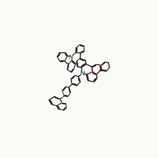 C1=CCCC(c2cc(-c3ccccc3-n3c4ccccc4c4ccccc43)ccc2N(c2ccc(-c3ccc(-c4cccc5ccccc45)cc3)cc2)c2cccc(C3=CCCC=C3)c2)=C1